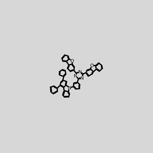 c1ccc(-c2cc(-c3ccccc3)c3c4ccccc4n(-c4cccc(-c5nc(-c6ccc7c(c6)oc6ccccc67)nc(-c6ccc7c(c6)oc6ccccc67)n5)c4)c3c2)cc1